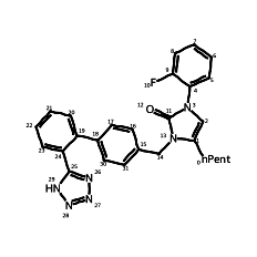 CCCCCc1cn(-c2ccccc2F)c(=O)n1Cc1ccc(-c2ccccc2-c2nnn[nH]2)cc1